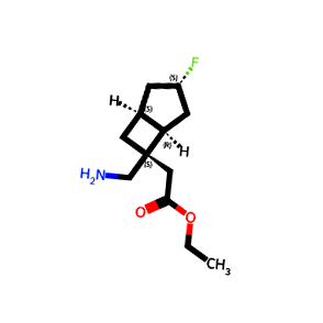 CCOC(=O)C[C@@]1(CN)C[C@H]2C[C@H](F)C[C@H]21